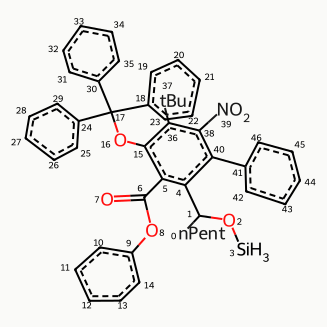 CCCCCC(O[SiH3])c1c(C(=O)Oc2ccccc2)c(OC(c2ccccc2)(c2ccccc2)c2ccccc2)c(C(C)(C)C)c([N+](=O)[O-])c1-c1ccccc1